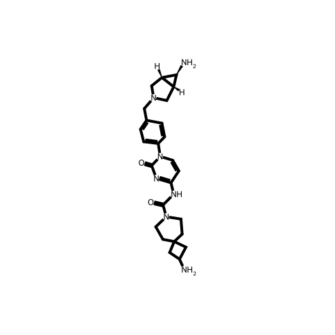 NC1CC2(CCN(C(=O)Nc3ccn(-c4ccc(CN5C[C@@H]6[C@@H](N)[C@@H]6C5)cc4)c(=O)n3)CC2)C1